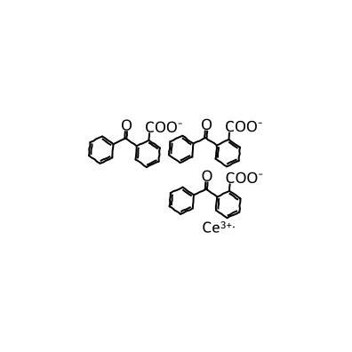 O=C([O-])c1ccccc1C(=O)c1ccccc1.O=C([O-])c1ccccc1C(=O)c1ccccc1.O=C([O-])c1ccccc1C(=O)c1ccccc1.[Ce+3]